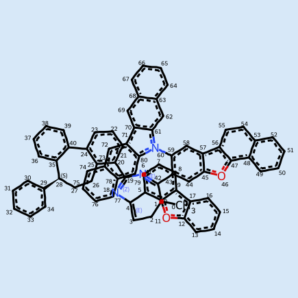 CC1C/C=C(c2cccc3c2oc2ccccc23)/N=C(c2cccc3c2CC[C@@H](c2ccccc2)c2ccccc2-3)\N=C/1c1cc2oc3c4ccccc4ccc3c2cc1-n1c2cc3ccccc3cc2c2cc3ccccc3cc21